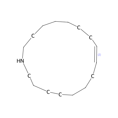 C1=C\CCCCCCCNCCCCCCC/1